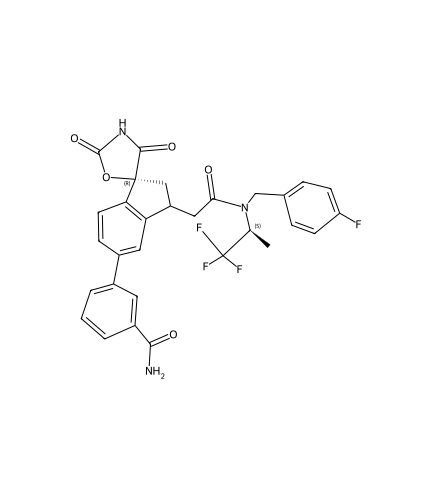 C[C@H](N(Cc1ccc(F)cc1)C(=O)CC1C[C@@]2(OC(=O)NC2=O)c2ccc(-c3cccc(C(N)=O)c3)cc21)C(F)(F)F